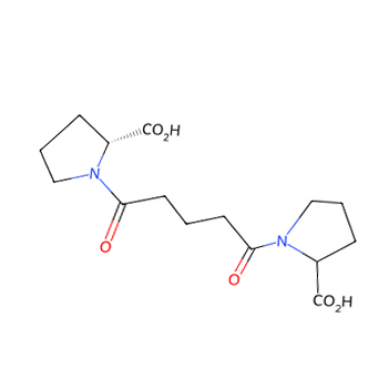 O=C(O)C1CCCN1C(=O)CCCC(=O)N1CCC[C@@H]1C(=O)O